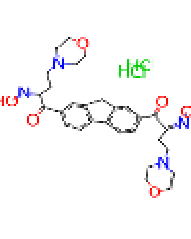 Cl.Cl.O=C(/C(CCN1CCOCC1)=N\O)c1ccc2c(c1)Cc1cc(C(=O)/C(CCN3CCOCC3)=N\O)ccc1-2